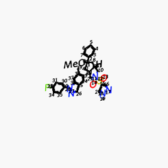 CO[C@@]1(c2ccccc2)C[C@H]2CN(S(=O)(=O)c3cnn(C)c3)C[C@@]2(c2cc3cnn(-c4ccc(F)cc4)c3cc2C)C1